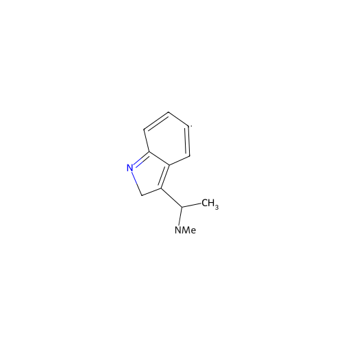 CNC(C)C1=c2c[c]ccc2=NC1